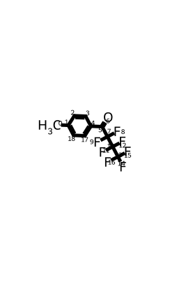 Cc1ccc(C(=O)C(F)(F)C(F)(F)C(F)(F)F)cc1